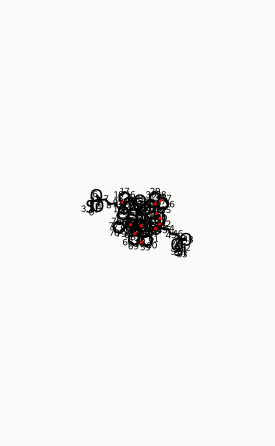 C[Si](C)(C)OC(=O)CCCC[Si]1(C)O[Si]2(c3ccccc3)OC34O[Si](c5ccccc5)(O2)O[Si]2(c5ccccc5)O[Si](C)(CCCCC(=O)O[Si](C)(C)C)O[Si]5(c6ccccc6)OC6(O[Si](c7ccccc7)(O5)O[Si](c5ccccc5)(O1)O[Si]63c1ccccc1)[Si]4(c1ccccc1)O2